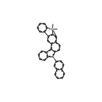 C[SH]12(C)c3ccccc3-c3cc4c(ccc5c4c4ccccc4n5-c4ccc5ccccc5c4)c1c32